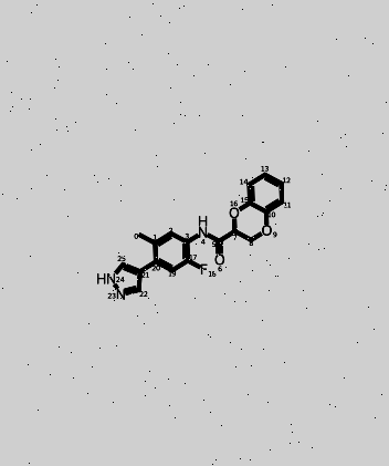 Cc1cc(NC(=O)C2COc3ccccc3O2)c(F)cc1-c1cn[nH]c1